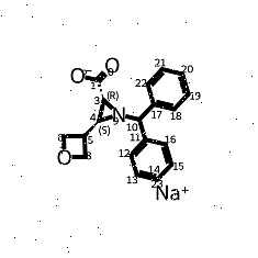 O=C([O-])[C@H]1[C@H](C2COC2)N1C(c1ccccc1)c1ccccc1.[Na+]